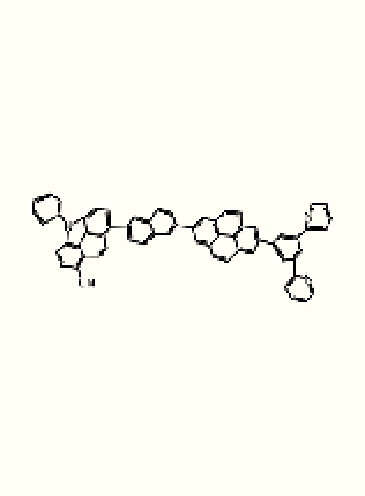 N#Cc1ccc2c3c1ccc1c(-c4ccc5cc(-c6cc7ccc8cc(-c9cc(-c%10ccccn%10)cc(-c%10ccccn%10)c9)cc9ccc(c6)c7c89)ccc5c4)ccc(c13)n2-c1ccccc1